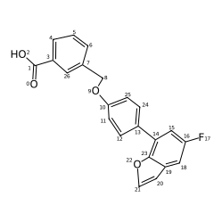 O=C(O)c1cccc(COc2ccc(-c3cc(F)cc4ccoc34)cc2)c1